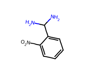 NC(N)c1ccccc1[N+](=O)[O-]